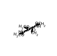 C=CC(=O)NCCCN(CCN(CCCNC(=O)C=C)C(=O)C=C)C(=O)C=C